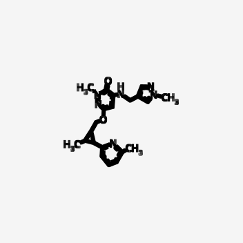 Cc1cccc(C2C(C)C2COc2cc(NCc3cnn(C)c3)c(=O)n(C)n2)n1